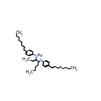 CCCCCCCCc1ccc(N=C(CCCC)C(CC)=[N+]([Pd])c2ccc(CCCCCCCC)cc2)cc1